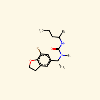 CCC(CCC(F)(F)F)NC(=O)N(CC)[C@H](C)c1cc(Br)c2c(c1)CCO2